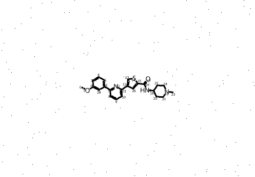 COc1cccc(-c2cccc(-c3csc(C(=O)NC4CCN(C)CC4)c3)n2)c1